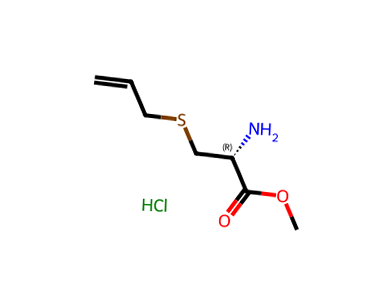 C=CCSC[C@H](N)C(=O)OC.Cl